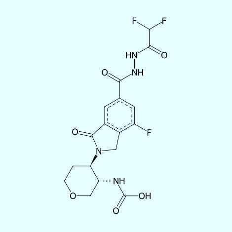 O=C(O)N[C@@H]1COCC[C@H]1N1Cc2c(F)cc(C(=O)NNC(=O)C(F)F)cc2C1=O